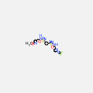 COc1ccc(CC(=O)Nc2nnc([C@H]3CCCC(c4nnc(NC(=O)Cc5cccc(N6CC(F)(F)C6)n5)s4)C3)s2)cn1